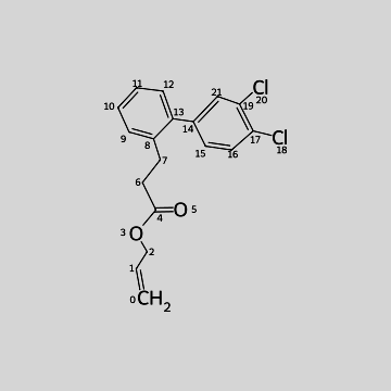 C=CCOC(=O)CCc1ccccc1-c1ccc(Cl)c(Cl)c1